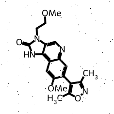 COCCn1c(=O)[nH]c2c3cc(OC)c(-c4c(C)noc4C)cc3ncc21